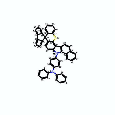 c1ccc(N(c2ccccc2)c2ccc(-n3c4ccc5c(c4c4ccc6ccccc6c43)Sc3ccccc3C53c4ccccc4-c4ccccc43)cc2)cc1